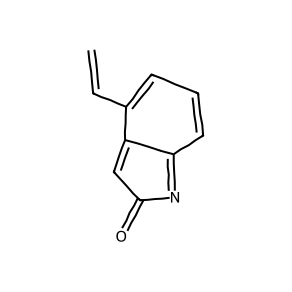 C=Cc1cccc2c1=CC(=O)N=2